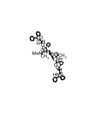 CN[C@@H](C)C(=O)N[C@@H](CC#CC#CC[C@H](NC(=O)[C@H](C)NC)C(=O)N1CCC[C@H]1c1nc(C(=O)NC(c2ccccc2)c2ccccc2)co1)C(=O)N1CCC[C@H]1c1nc(C(=O)NC(c2ccccc2)c2ccccc2)co1